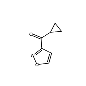 O=C(c1ccon1)C1CC1